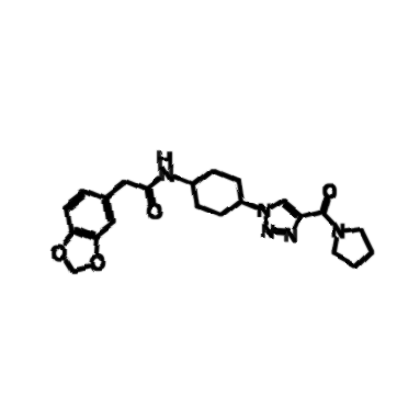 O=C(Cc1ccc2c(c1)OCO2)NC1CCC(n2cc(C(=O)N3CCCC3)nn2)CC1